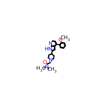 COc1ccccc1-c1ccnc2[nH]c(C3CCN(CC(=O)N(C)C)CC3)cc12